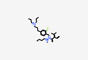 C=CC(C(=C)N(Cc1ccc(CCCN(CCC)CCC)cc1F)N(C)CCCC)=C(C)C